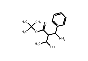 CC(O)C(C(=O)OC(C)(C)C)C(N)c1ccccc1